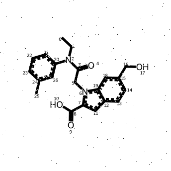 CCN(C(=O)Cn1c(C(=O)O)cc2ccc(CO)cc21)c1cccc(C)c1